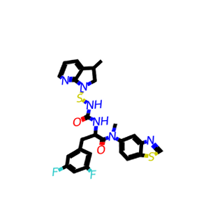 CC1CN(SNC(=O)NC(Cc2cc(F)cc(F)c2)C(=O)N(C)c2ccc3scnc3c2)c2ncccc21